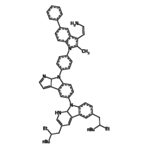 CCCCC(CC)CC1=CNC2C(=C1)c1cc(CC(CC)CCCC)ccc1N2c1ccc2c(c1)C1=CC=NC1N2c1ccc(-n2c(C)c(/C=C\N)c3cc(-c4ccccc4)ccc32)cc1